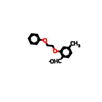 Cc1ccc([C]=O)c(OCCOc2ccccc2)c1